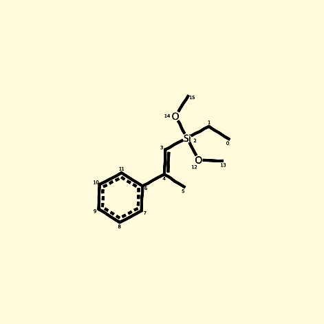 CC[Si](C=C(C)c1ccccc1)(OC)OC